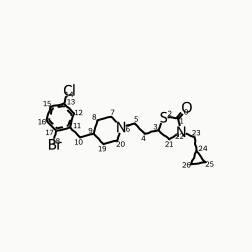 O=C1SC(CCN2CCC(Cc3cc(Cl)ccc3Br)CC2)CN1CC1CC1